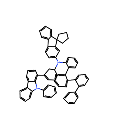 C1=CC(N(c2ccc3c(c2)C2(CCCC2)c2ccccc2-3)c2ccccc2-c2ccccc2-c2ccccc2-c2ccccc2)CC(c2cccc3c4ccccc4n(-c4ccccc4)c23)=C1